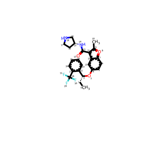 CC[C@@H](Oc1ccc2oc(C)c(C(=O)N[C@@H]3CCNC3)c2c1)c1ccccc1C(F)(F)F